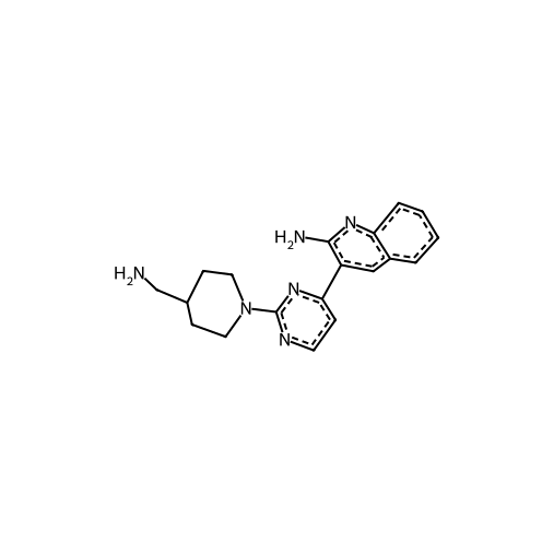 NCC1CCN(c2nccc(-c3cc4ccccc4nc3N)n2)CC1